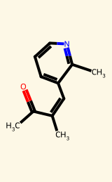 CC(=O)/C(C)=C\c1cccnc1C